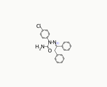 NC(=O)N(/N=C(\Cc1ccccc1)c1ccccc1)c1ccc(Cl)cc1